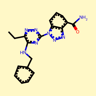 CCc1nnc(-n2nnc3c(C(N)=O)cccc32)nc1NCc1ccccc1